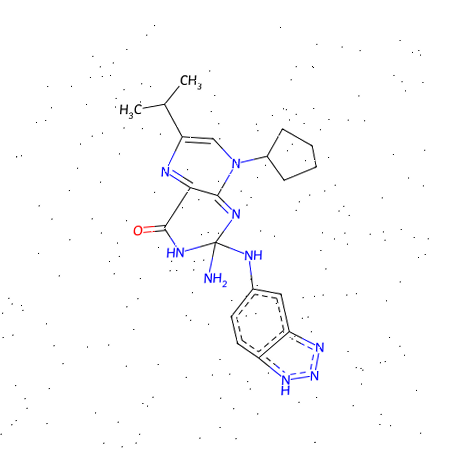 CC(C)C1=CN(C2CCCC2)C2=NC(N)(Nc3ccc4[nH]nnc4c3)NC(=O)C2=N1